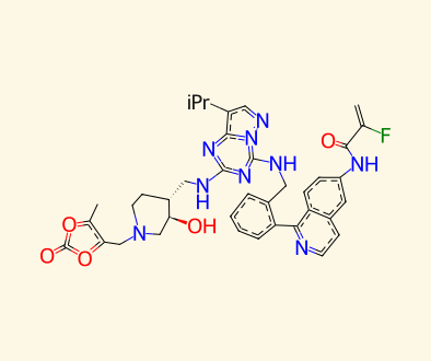 C=C(F)C(=O)Nc1ccc2c(-c3ccccc3CNc3nc(NC[C@H]4CCN(Cc5oc(=O)oc5C)C[C@@H]4O)nc4c(C(C)C)cnn34)nccc2c1